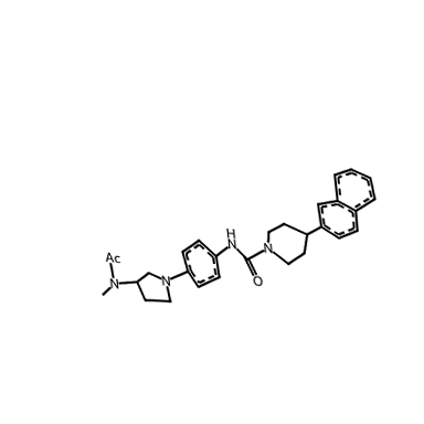 CC(=O)N(C)C1CCN(c2ccc(NC(=O)N3CCC(c4ccc5ccccc5c4)CC3)cc2)C1